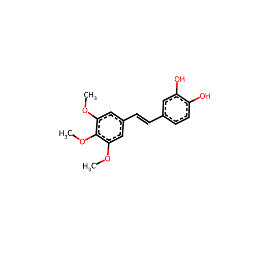 COc1cc(C=Cc2ccc(O)c(O)c2)cc(OC)c1OC